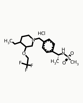 CCC1CCN(Cc2ccc([C@@H](C)NS(C)(=O)=O)cc2)CC1OCC(F)(F)F.Cl